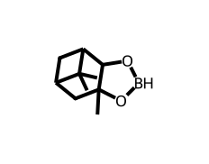 CC12CC3CC(C1OBO2)C3(C)C